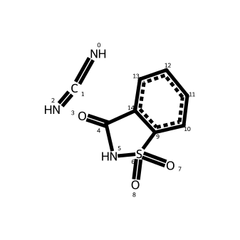 N=C=N.O=C1NS(=O)(=O)c2ccccc21